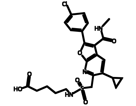 CNC(=O)c1c(-c2ccc(Cl)cc2)oc2nc(CS(=O)(=O)NCCCCC(=O)O)c(C3CC3)cc12